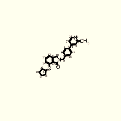 Cc1cc(-c2ccc(CN3Cc4cccc(OC5CCCC5)c4C3=O)cc2)ccn1